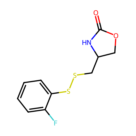 O=C1NC(CSSc2ccccc2F)CO1